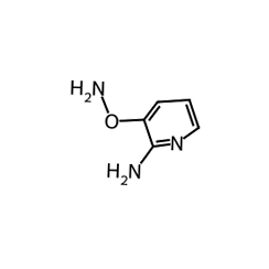 NOc1cccnc1N